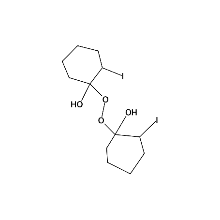 OC1(OOC2(O)CCCCC2I)CCCCC1I